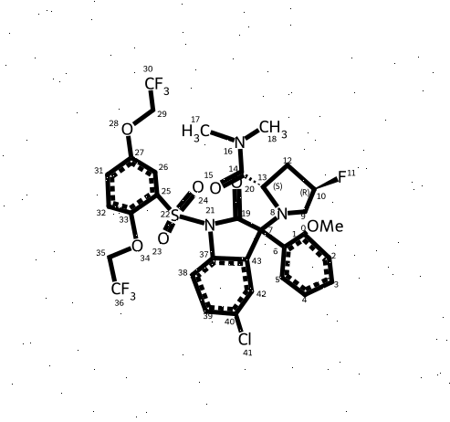 COc1ccccc1C1(N2C[C@H](F)C[C@H]2C(=O)N(C)C)C(=O)N(S(=O)(=O)c2cc(OCC(F)(F)F)ccc2OCC(F)(F)F)c2ccc(Cl)cc21